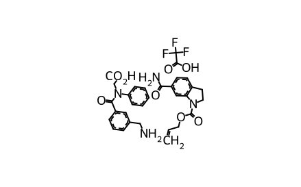 C=CCOC(=O)N1CCc2ccc(C(N)=O)cc21.NCc1cccc(C(=O)N(CC(=O)O)c2ccccc2)c1.O=C(O)C(F)(F)F